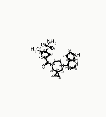 Cc1sc(C(=O)N2CCN(c3ncnc4[nH]ccc34)CC3(CC3)C2)cc1S(N)(=O)=O